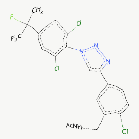 CC(=O)NCc1cc(-c2cn(-c3c(Cl)cc(C(C)(F)C(F)(F)F)cc3Cl)nn2)ccc1Cl